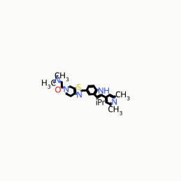 Cc1cc(-c2[nH]c3ccc(-c4nc5c(s4)CN(C(=O)CN(C)C)CC5)cc3c2C(C)C)cc(C)n1